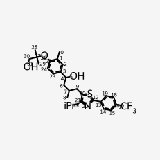 Cc1cc(C(O)CC(C)Cc2sc(-c3ccc(C(F)(F)F)cc3)nc2C(C)C)ccc1OC(C)(C)CO